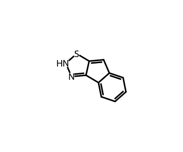 c1ccc2c3n[nH]sc-3cc2c1